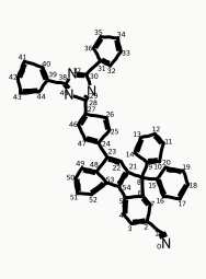 N#Cc1ccc2c(c1)C(c1ccccc1)(c1ccccc1)c1cc(-c3ccc(-c4nc(-c5ccccc5)nc(-c5ccccc5)n4)cc3)c3ccccc3c1-2